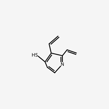 C=Cc1nccc(S)c1C=C